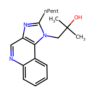 CCCCCc1nc2cnc3ccccc3c2n1CC(C)(C)O